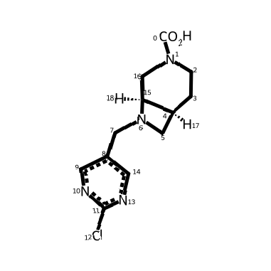 O=C(O)N1CC[C@H]2CN(Cc3cnc(Cl)nc3)[C@H]2C1